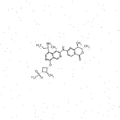 CC[C@@](C)(N)c1cnc(O[C@H]2C[C@@H](S(C)(=O)=O)[C@@H]2C)c2cnc(Nc3ccc4c(n3)[C@@H](C)[C@H](C)OC4=O)cc12